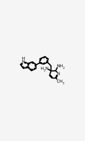 CC1=NC(N)C(N)(Cc2cccc(-c3ccc4cc[nH]c4c3)c2)C=C1